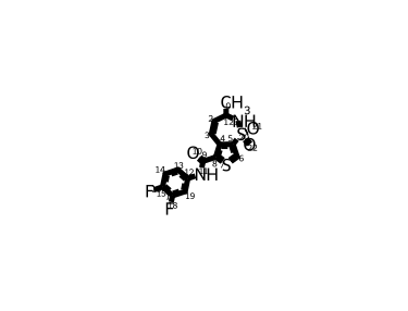 CC1C=Cc2c(csc2C(=O)Nc2ccc(F)c(F)c2)S(=O)(=O)N1